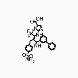 N=C(/C(Cc1ccc(S(N)(=O)=O)cc1)=C(\Nc1nc(C(=O)O)cs1)C(F)(F)F)c1cccc(-c2ccccc2)c1